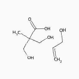 C=CCO.CC(CO)(CO)C(=O)O